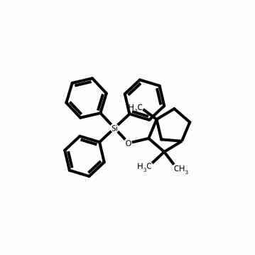 CC12CCC(C1)C(C)(C)C2O[Si](c1ccccc1)(c1ccccc1)c1ccccc1